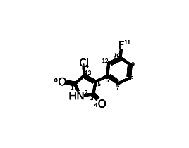 O=C1NC(=O)C(c2cccc(F)c2)=C1Cl